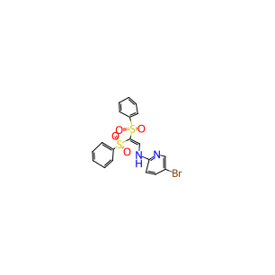 O=S(=O)(C(=CNc1ccc(Br)cn1)S(=O)(=O)c1ccccc1)c1ccccc1